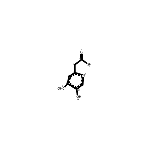 O=Cc1cc(CC(=O)S)ncc1O